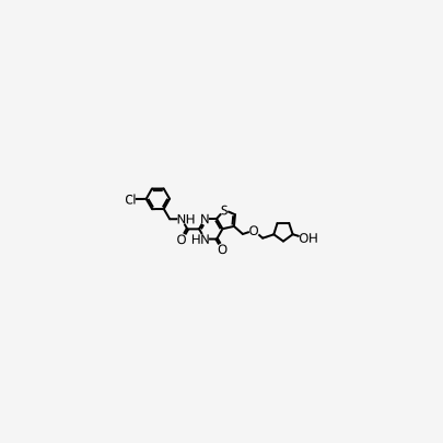 O=C(NCc1cccc(Cl)c1)c1nc2scc(COCC3CCC(O)C3)c2c(=O)[nH]1